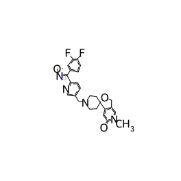 Cn1cc2c(cc1=O)C1(CCN(Cc3ccc(/C(=N/[O])c4ccc(F)c(F)c4)nc3)CC1)OC2